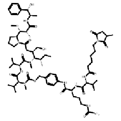 CC[C@H](C)[C@@H]([C@H](CO)CC(=O)N1CCC[C@H]1[C@H](OC)[C@@H](C)C(=O)N[C@H](C)[C@@H](O)c1ccccc1)N(C)C(=O)[C@@H](NC(=O)C(C(C)C)N(C)C(=O)OCc1ccc(NC(=O)[C@H](CCCNC(N)=O)NC(=O)[C@@H](NC(=O)CCCCCN2C(=O)CC(C)C2=O)C(C)C)cc1)C(C)C